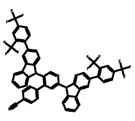 N#Cc1ccc(-c2cc(-n3c4ccccc4c4cc(-c5ccc(C(F)(F)F)cc5C(F)(F)F)ccc43)ncc2-n2c3ccccc3c3cc(-c4ccc(C(F)(F)F)cc4C(F)(F)F)ccc32)cc1